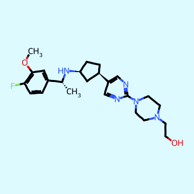 COc1cc([C@@H](C)N[C@H]2CC[C@@H](c3cnc(N4CCN(CCO)CC4)nc3)C2)ccc1F